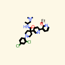 CCOc1ncccc1-c1ccc(C2(C(=O)NC(C)CN(C)C)CCN(c3ccc(Cl)cc3Cl)CC2)cn1